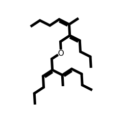 CCCC=C(C)C(=CCCC)COCC(=CCCC)C(C)=CCCC